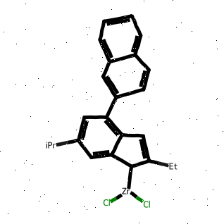 CCC1=Cc2c(-c3ccc4ccccc4c3)cc(C(C)C)cc2[CH]1[Zr]([Cl])[Cl]